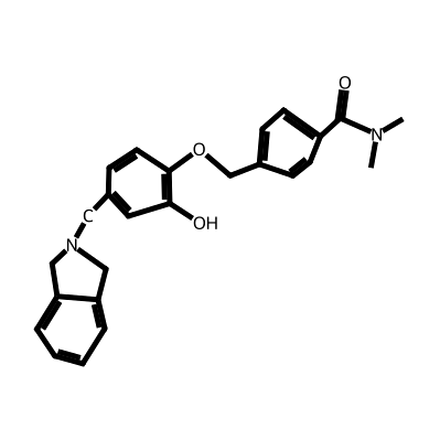 CN(C)C(=O)c1ccc(COc2ccc(CN3Cc4ccccc4C3)cc2O)cc1